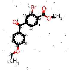 CCOc1ccc(C(=O)c2ccc(C(=O)OC)c(Br)c2)cc1